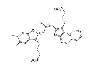 CCC(=C/c1sc2ccc3ccccc3c2[n+]1CCCS(=O)(=O)O)/C=C1\Oc2cc(C)c(C)cc2N1CCCS(=O)(=O)O